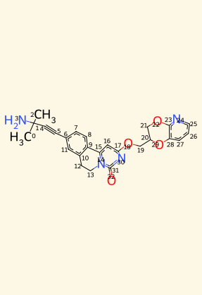 CC(C)(N)C#Cc1ccc2c(c1)CCn1c-2cc(OCC2COc3ncccc3O2)nc1=O